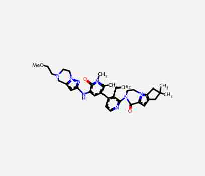 COCCN1CCn2nc(Nc3cc(-c4ccnc(N5CCn6c(cc7c6CC(C)(C)C7)C5=O)c4COC(C)=O)c(C)n(C)c3=O)cc2C1